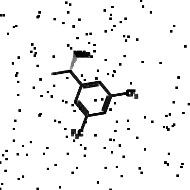 CN[C@@H](C)c1cc(C(F)(F)F)cc(C(F)(F)F)c1